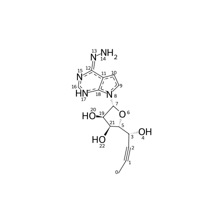 CC#C[C@@H](O)[C@H]1O[C@@H](n2ccc3/c(=N\N)nc[nH]c32)[C@H](O)[C@@H]1O